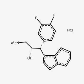 CNC[C@@H](O)[C@H](c1ccc(F)c(F)c1)n1ccc2ccccc21.Cl